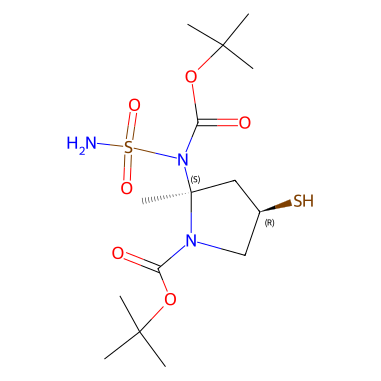 CC(C)(C)OC(=O)N1C[C@H](S)C[C@]1(C)N(C(=O)OC(C)(C)C)S(N)(=O)=O